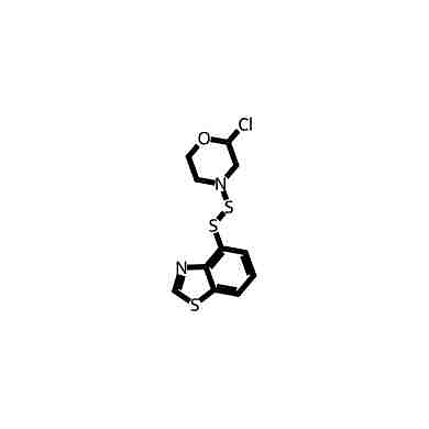 ClC1CN(SSc2cccc3scnc23)CCO1